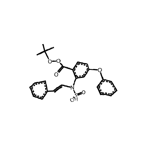 CC(C)(C)OOC(=O)c1ccc(Oc2ccccc2)cc1N(/C=C/c1ccccc1)[SH](=O)=O